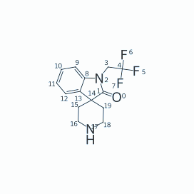 O=C1N(CC(F)(F)F)c2ccccc2C12CCNCC2